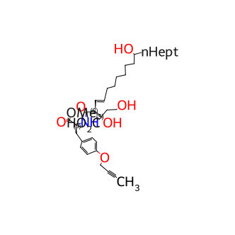 CC#CCOc1ccc(C[C@H](NC(=O)[C@@H](C=CCCCCCCC(O)CCCCCCC)[C@@](O)(CCO)C(=O)O)C(=O)OC)cc1